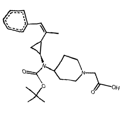 CC(=Cc1ccccc1)C1C[C@@H]1N(C(=O)OC(C)(C)C)C1CCN(CC(=O)O)CC1